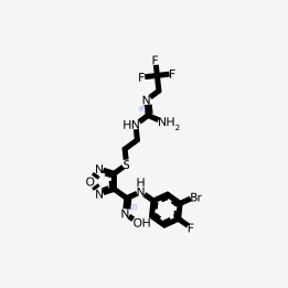 N/C(=N\CC(F)(F)F)NCCSc1nonc1/C(=N/O)Nc1ccc(F)c(Br)c1